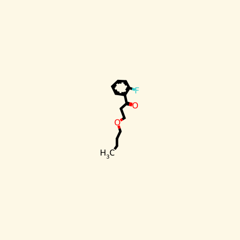 CCCCOCCC(=O)c1ccccc1F